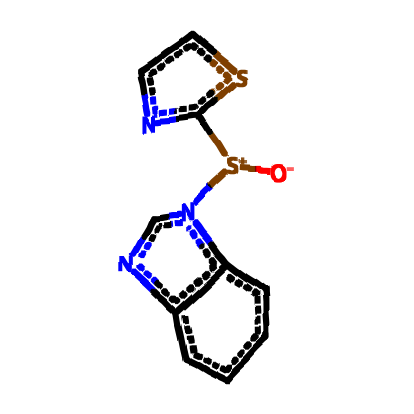 [O-][S+](c1nccs1)n1cnc2ccccc21